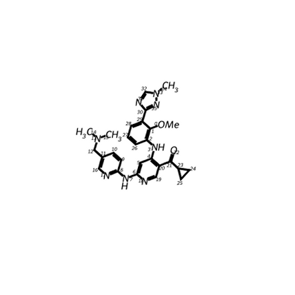 COc1c(Nc2cc(Nc3ccc(CN(C)C)cn3)ncc2C(=O)C2CC2)cccc1-c1ncn(C)n1